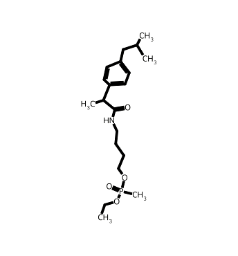 CCOP(C)(=O)OCCCCNC(=O)C(C)c1ccc(CC(C)C)cc1